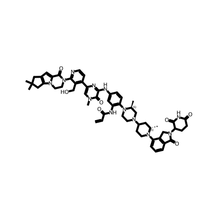 C=CC(=O)Nc1cc(Nc2nc(-c3ccnc(N4CCn5c(cc6c5CC(C)(C)C6)C4=O)c3CO)cn(C)c2=O)ccc1N1CCN(C2CCN(c3cccc4c3CN(C3CCC(=O)NC3=O)C4=O)[C@@H](C)C2)C[C@@H]1C